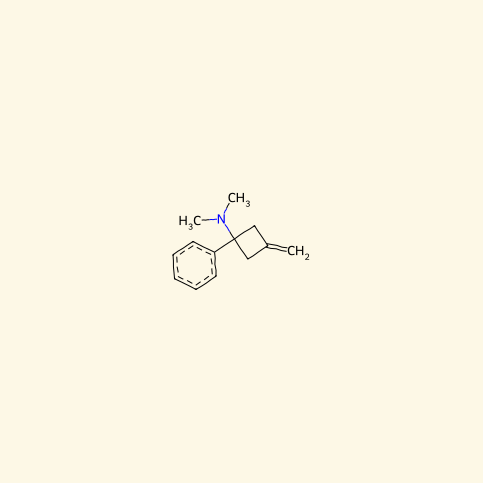 C=C1CC(c2ccccc2)(N(C)C)C1